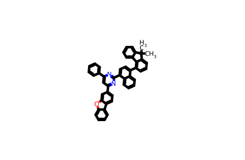 CC1(C)c2ccccc2-c2c(-c3ccc(-c4nc(-c5ccccc5)cc(-c5ccc6c(c5)oc5ccccc56)n4)c4ccccc34)cccc21